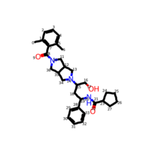 Cc1cccc(C)c1C(=O)N1CC2CN(C(CO)CC(NC(=O)C3CCCC3)c3ccccc3)CC2C1